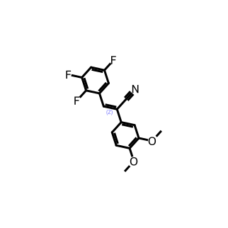 COc1ccc(/C(C#N)=C/c2cc(F)cc(F)c2F)cc1OC